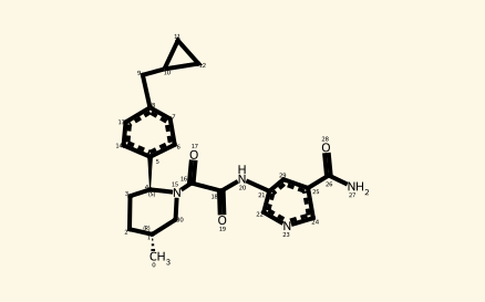 C[C@@H]1CC[C@@H](c2ccc(CC3CC3)cc2)N(C(=O)C(=O)Nc2cncc(C(N)=O)c2)C1